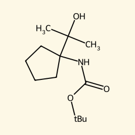 CC(C)(C)OC(=O)NC1(C(C)(C)O)CCCC1